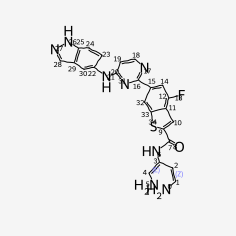 N/C=C\C(=C/N)NC(=O)c1cc2c(F)cc(-c3nccc(Nc4ccc5[nH]ncc5c4)n3)cc2s1